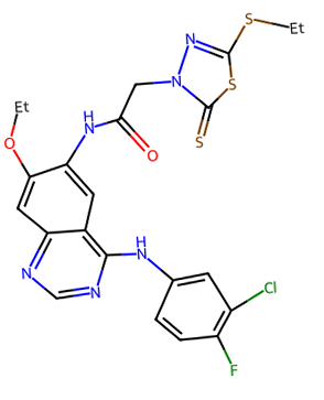 CCOc1cc2ncnc(Nc3ccc(F)c(Cl)c3)c2cc1NC(=O)Cn1nc(SCC)sc1=S